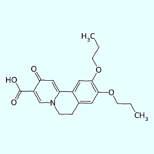 CCCOc1cc2c(cc1OCCC)-c1cc(=O)c(C(=O)O)cn1CC2